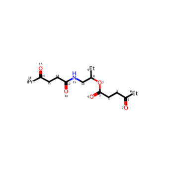 CCC(=O)CCC(=O)OC(CC)CNC(=O)CCC(=O)C(C)C